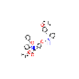 COC(=O)C(Cc1ccc(OCCNc2ccccc2Cc2ccc(OC)cc2)cc1)Nc1ccccc1C(=O)c1ccccc1